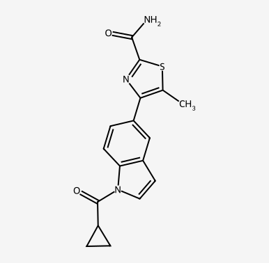 Cc1sc(C(N)=O)nc1-c1ccc2c(ccn2C(=O)C2CC2)c1